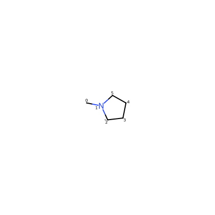 CN1[CH]CCC1